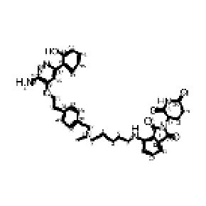 CN(CCCCCNc1cccc2c1C(=O)N(C1CCC(=O)NC1=O)C2=O)Cc1ccc(CCOc2cc(-c3ccccc3O)nnc2N)cc1